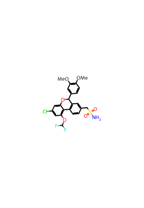 COc1ccc(C2Oc3cc(Cl)cc(OC(F)F)c3-c3ccc(CS(N)(=O)=O)cc32)cc1OC